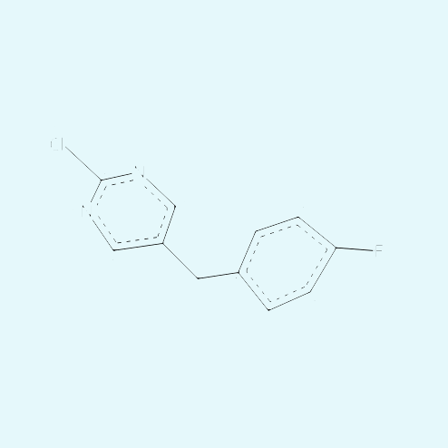 Fc1ccc(Cc2cnc(Cl)nc2)cc1